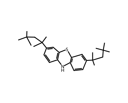 CC(C)(C)CC(C)(C)c1ccc2c(c1)Sc1cc(C(C)(C)CC(C)(C)C)ccc1N2